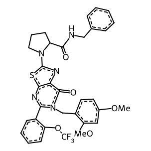 COc1ccc(Cn2c(-c3ccccc3OC(F)(F)F)nc3sc(N4CCCC4C(=O)NCc4ccccc4)nc3c2=O)c(OC)c1